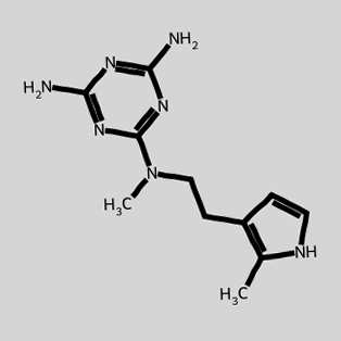 Cc1[nH]ccc1CCN(C)c1nc(N)nc(N)n1